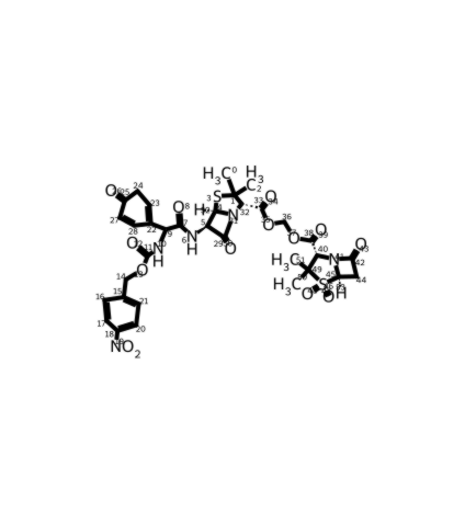 CC1(C)S[C@@H]2[C@H](NC(=O)C(NC(=O)OCc3ccc([N+](=O)[O-])cc3)C3=CCC(=O)C=C3)C(=O)N2[C@H]1C(=O)OCOC(=O)[C@@H]1N2C(=O)C[C@H]2S(=O)(=O)C1(C)C